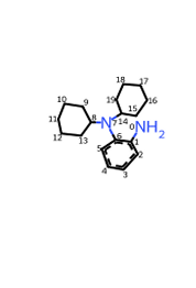 Nc1ccccc1N(C1CCCCC1)C1CCCCC1